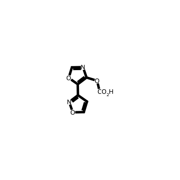 O=C(O)Oc1ncoc1-c1ccon1